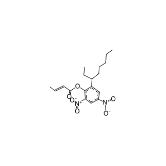 CC=CC(=O)Oc1c(C(CC)CCCCC)cc([N+](=O)[O-])cc1[N+](=O)[O-]